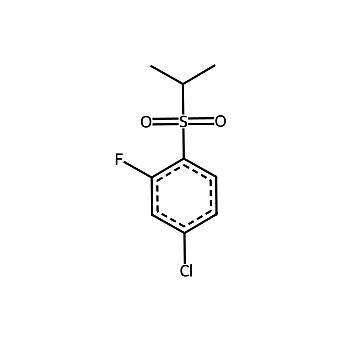 CC(C)S(=O)(=O)c1ccc(Cl)cc1F